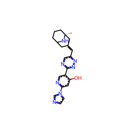 C[C@]12CCCC(C/C(=C\c3cnc(-c4cnc(-n5ccnc5)cc4O)nn3)C1)N2